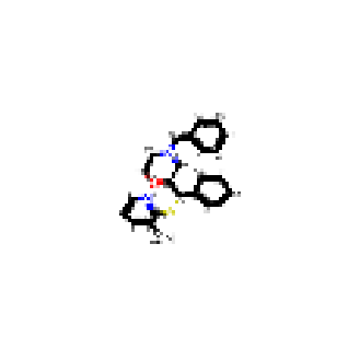 N#Cc1cccnc1S[C@@H](c1ccccc1)[C@@H]1CN(Cc2ccccc2)CCO1